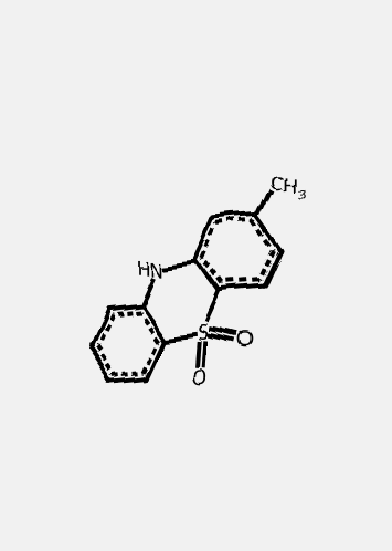 Cc1ccc2c(c1)Nc1ccccc1S2(=O)=O